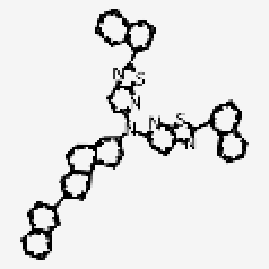 c1ccc2cc(-c3ccc4c(ccc5cc(N(c6ccc7nc(-c8cccc9ccccc89)sc7n6)c6ccc7nc(-c8cccc9ccccc89)sc7n6)ccc54)c3)ccc2c1